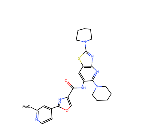 COc1cc(-c2nc(C(=O)Nc3cc4sc(N5CCCCC5)nc4nc3N3CCCCC3)co2)ccn1